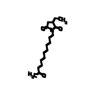 CCC1CC(=O)N(CCCCCCCCCCC(C)=O)C1=O